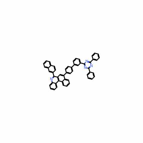 c1ccc(-c2nc(-c3ccccc3)nc(-c3cccc(-c4ccc(-c5cc6c(-c7ccc8ccccc8c7)nc7ccccc7c6c6ccccc56)cc4)c3)n2)cc1